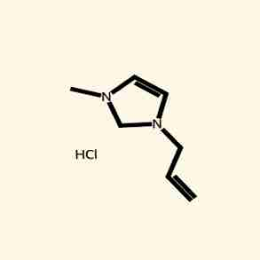 C=CCN1C=CN(C)C1.Cl